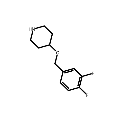 Fc1ccc(COC2CCNCC2)cc1F